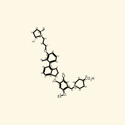 CCOc1cc(O[C@H]2CCc3c(-c4cccc(OCCCN5[C@H](C)CC[C@H]5C)c4C)cccc32)c(Cl)cc1CN1CCC(C(=O)O)CC1